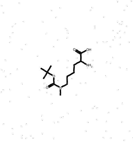 CN(CCCCC(N)C(=O)O)C(=O)OC(C)(C)C